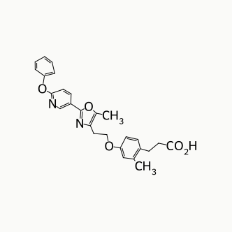 Cc1cc(OCCc2nc(-c3ccc(Oc4ccccc4)nc3)oc2C)ccc1CCC(=O)O